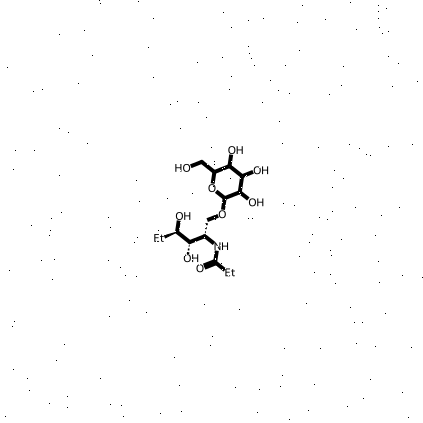 CCC(=O)N[C@@H](COC1OC(CO)C(O)C(O)C1O)[C@H](O)[C@H](O)CC